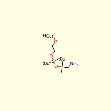 CC(C)(CN)O[Si](OCCOC(=O)O)(C(C)(C)C)C(C)(C)C